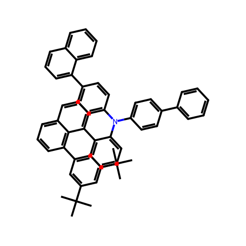 CC(C)(C)c1cc(-c2cccc3cccc(-c4ccccc4N(c4ccc(-c5ccccc5)cc4)c4ccc(-c5cccc6ccccc56)cc4)c23)cc(C(C)(C)C)c1